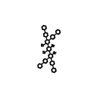 Brc1cc(-c2cc(-c3ccc(-c4ccccc4)cc3)c(-c3ccc(-c4ccccc4)cc3)cc2Br)c(Br)cc1-c1cc(-c2ccc(-c3ccccc3)cc2)c(-c2ccc(-c3ccccc3)cc2)cc1Br